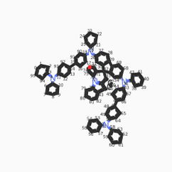 c1ccc(N(c2ccccc2)c2ccc(-c3ccc(N(c4ccccc4)c4ccc5c(c4)C4(c6cc(N(c7ccccc7)c7ccc(-c8ccc(N(c9ccccc9)c9ccccc9)cc8)cc7)ccc6-5)c5ccccc5-n5c6ccccc6c6cccc4c65)cc3)cc2)cc1